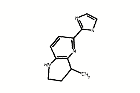 CC1CCNc2ccc(-c3nccs3)nc21